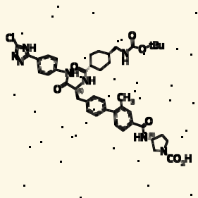 Cc1cc(C(=O)N[C@@H]2CCN(C(=O)O)C2)ccc1-c1ccc(C[C@H](NC(=O)[C@H]2CC[C@H](CNC(=O)OC(C)(C)C)CC2)C(=O)Nc2ccc(-c3nnc(Cl)[nH]3)cc2)cc1